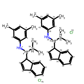 Cc1cc(C)cc([NH][Hf+]([CH]2C=Cc3ccccc32)[SiH](C)C)c1.Cc1cc(C)cc([NH][Hf+]([CH]2C=Cc3ccccc32)[SiH](C)C)c1.[Cl-].[Cl-]